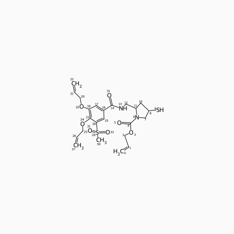 C=CCOC(=O)N1CC(S)CC1CNC(=O)c1cc(OCC=C)c(OCC=C)c(S(C)(=O)=O)c1